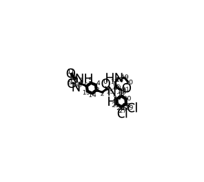 O=C(Cc1ccc(-c2noc(=O)[nH]2)cc1)N[C@@H]1CNCCO[C@H]1c1ccc(Cl)c(Cl)c1